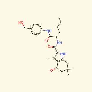 CCCCC(NC(=O)c1[nH]c2c(c1C)C(=O)CC(C)(C)C2)C(=O)Nc1ccc(CO)cc1